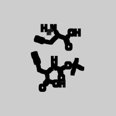 C#CCC(N)C(=O)O.C#CCC(NC(=O)OC(C)(C)C)C(=O)O